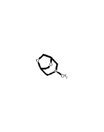 CN1CC2COC(CO2)C1